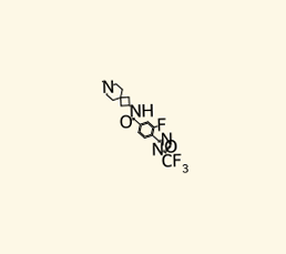 CN1CCC2(CC1)CC(NC(=O)c1ccc(-c3noc(C(F)(F)F)n3)c(F)c1)C2